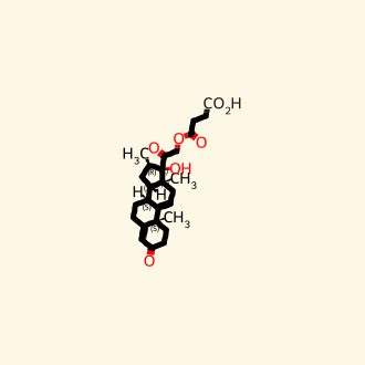 C[C@@H]1C[C@H]2[C@@H]3CCC4=CC(=O)CC[C@]4(C)C3=CC[C@]2(C)[C@@]1(O)C(=O)COC(=O)CCC(=O)O